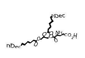 CCCCCCCCCCCCCCCC(=O)OCC(COC(=O)[C@@H](N)CCC(=O)O)OC(=O)CCCCCCCCCCCCCCC